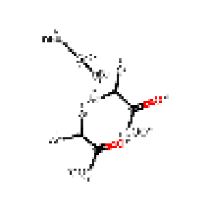 CC(=O)C(C(C)=O)C(=O)C(=O)[O-].CC(=O)C(C(C)=O)C(=O)C(=O)[O-].CCC[CH2][Sn+2][CH2]CCC